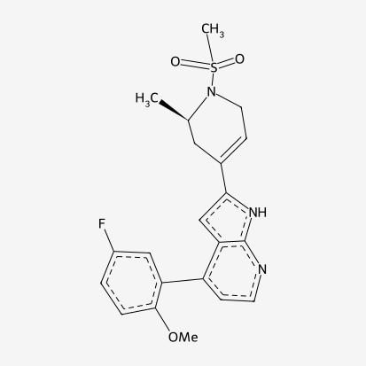 COc1ccc(F)cc1-c1ccnc2[nH]c(C3=CCN(S(C)(=O)=O)[C@H](C)C3)cc12